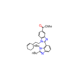 CCCCc1nc2cccc(-c3nc4cc(C(=O)OC)ccc4n3CCC3C=CCCC3)c2n1CCCC